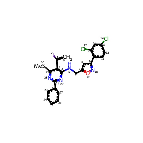 C=C(I)c1c(NCc2cc(-c3ccc(Cl)cc3Cl)no2)nc(-c2ccccc2)nc1SC